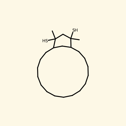 CC1(S)CC(C)(S)C2CCCCCCCCCCCCCCCC1C2